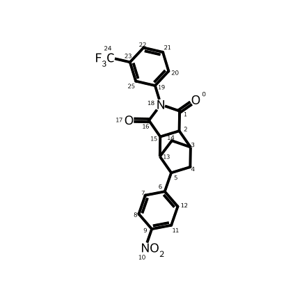 O=C1C2C3CC(c4ccc([N+](=O)[O-])cc4)C(C3)C2C(=O)N1c1cccc(C(F)(F)F)c1